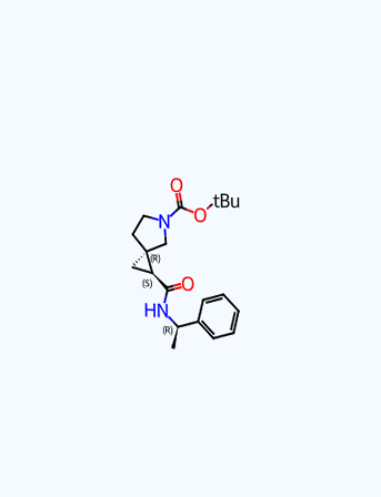 C[C@@H](NC(=O)[C@H]1C[C@@]12CCN(C(=O)OC(C)(C)C)C2)c1ccccc1